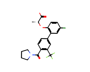 C[C@H](Oc1ccc(Cl)cc1-c1ccc(C(=O)N2CCCC2)c(C(F)(F)F)c1)C(=O)O